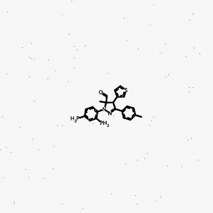 Cc1ccc(C2=NN(c3ccc(P)cc3P)C(C)(C=O)C2c2ccsc2)cc1